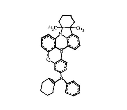 CC12CCCCC1(C)N1c3cccc4c3B(c3ccc(N(C5=CCCCC5)c5ccccc5)cc3O4)c3cccc2c31